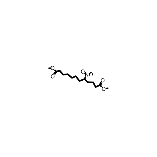 COC(=O)CCCCCCC(CCCC(=O)OC)[N+](=O)[O-]